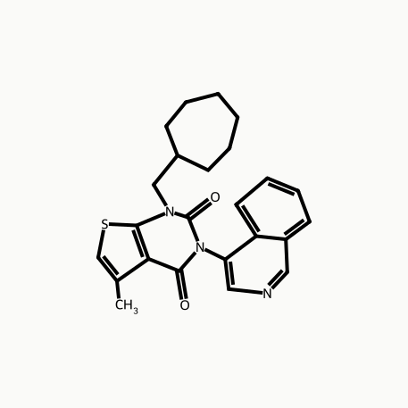 Cc1csc2c1c(=O)n(-c1cncc3ccccc13)c(=O)n2CC1CCCCCC1